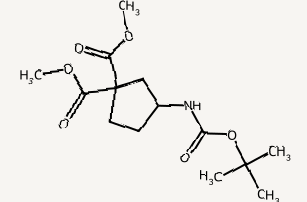 COC(=O)C1(C(=O)OC)CCC(NC(=O)OC(C)(C)C)C1